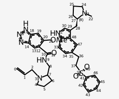 C=CCN1CCCC1CNC(=O)c1cc2nn[nH]c2cc1OC.CN1CCC[C@@H]1Cc1c[nH]c2ccc(CCS(=O)(=O)c3ccccc3)cc12